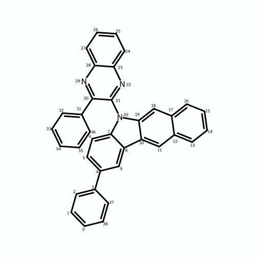 c1ccc(-c2ccc3c(c2)c2cc4ccccc4cc2n3-c2nc3ccccc3nc2-c2ccccc2)cc1